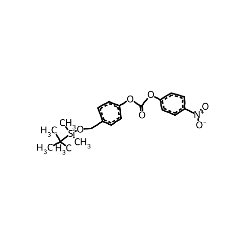 CC(C)(C)[Si](C)(C)OCc1ccc(OC(=O)Oc2ccc([N+](=O)[O-])cc2)cc1